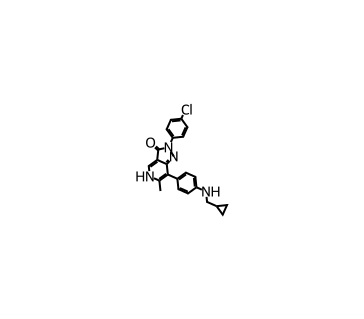 Cc1[nH]cc2c(=O)n(-c3ccc(Cl)cc3)nc-2c1-c1ccc(NCC2CC2)cc1